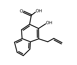 C=CCc1c(O)c(C(=O)O)cc2ccccc12